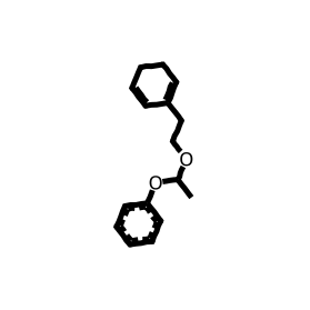 CC(OCCC1=CCCC=C1)Oc1ccccc1